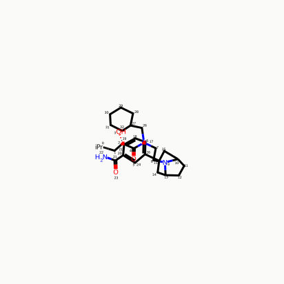 CC(C)C[C@H](O)C(=O)N(CCN1C2CCC1CC(c1cccc(C(N)=O)c1)C2)CC1CCCCC1